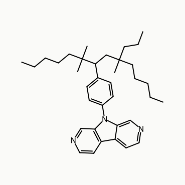 CCCCCC(C)(CCC)CC(c1ccc(-n2c3cnccc3c3ccncc32)cc1)C(C)(C)CCCCC